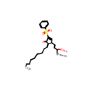 CCCCCC(O)/C=C/C1C=C(S(=O)(=O)c2ccccc2)C(=O)/C1=C\CCCCCCCC(=O)OCC